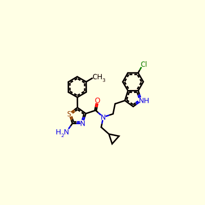 Cc1cccc(-c2sc(N)nc2C(=O)N(CCc2c[nH]c3cc(Cl)ccc23)CC2CC2)c1